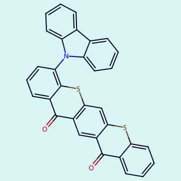 O=c1c2ccccc2sc2cc3sc4c(-n5c6ccccc6c6ccccc65)cccc4c(=O)c3cc12